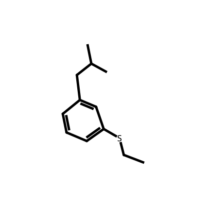 CCSc1cccc(CC(C)C)c1